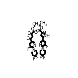 CCOC(=O)C(=O)CC(=O)c1cnc(N2CCC(F)(F)CC2)c(F)c1.CCOC(=O)c1cc(-c2cnc(N3CCC(F)(F)CC3)c(F)c2)[nH]n1